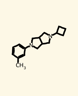 Cc1cccc(N2CC3CN(C4CCC4)CC3C2)c1